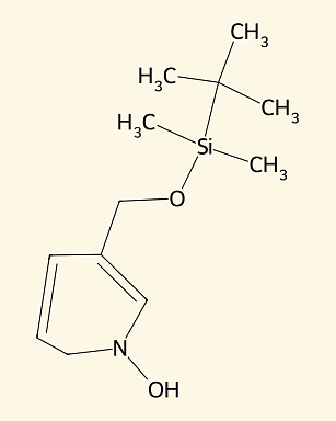 CC(C)(C)[Si](C)(C)OCC1=CN(O)CC=C1